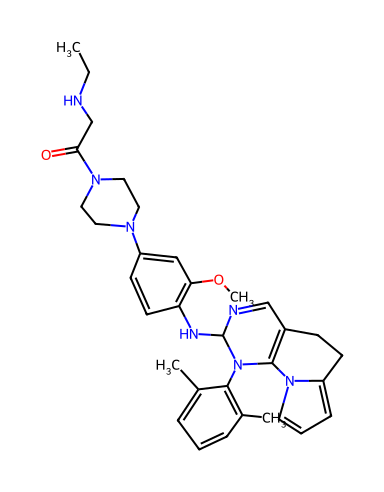 CCNCC(=O)N1CCN(c2ccc(NC3N=CC4=C(N3c3c(C)cccc3C)n3cccc3CC4)c(OC)c2)CC1